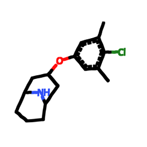 Cc1cc(OC2CC3CCCC(C2)N3)cc(C)c1Cl